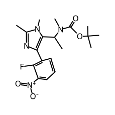 Cc1nc(-c2cccc([N+](=O)[O-])c2F)c(C(C)N(C)C(=O)OC(C)(C)C)n1C